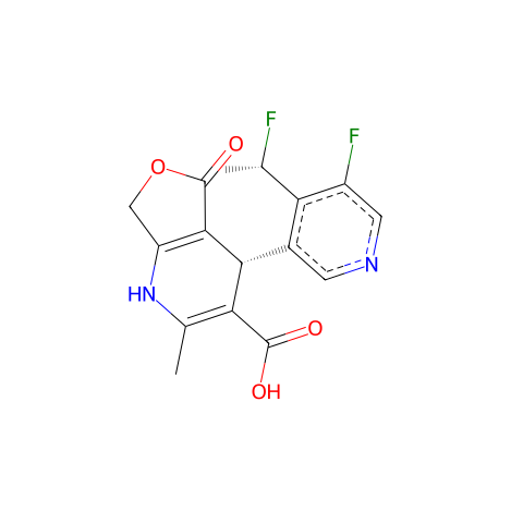 CC1=C(C(=O)O)[C@@H](c2cncc(F)c2[C@H](C)F)C2=C(COC2=O)N1